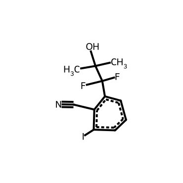 CC(C)(O)C(F)(F)c1cccc(I)c1C#N